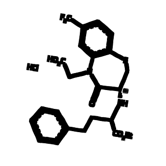 CCOC(=O)C(CCc1ccccc1)N[C@H]1CSc2ccc(C(F)(F)F)cc2N(CC(=O)O)C1=O.Cl